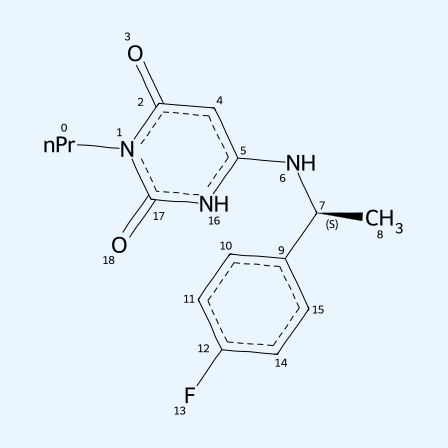 CCCn1c(=O)cc(N[C@@H](C)c2ccc(F)cc2)[nH]c1=O